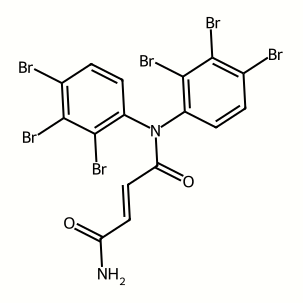 NC(=O)/C=C/C(=O)N(c1ccc(Br)c(Br)c1Br)c1ccc(Br)c(Br)c1Br